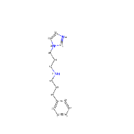 c1ccc(CCCNCCCn2ccnc2)cc1